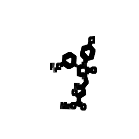 COC(=O)c1cc(CN2C[C@H](c3cccc(C(F)(F)F)c3)N(c3ccc(Cl)cc3)C2=O)no1